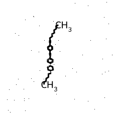 CCCCCCCCC#Cc1ccc(C#Cc2ccc([C@H]3CC[C@H](CCCCCCC)CC3)cc2)cc1